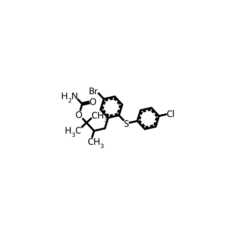 CC(Cc1cc(Br)ccc1Sc1ccc(Cl)cc1)C(C)(C)OC(N)=O